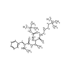 CN[C@@H](Cc1ccccc1)C(=O)O[C@H](C)[C@H](NC(=O)OC(C)(C)C)C(=O)OCOCC[Si](C)(C)C